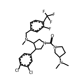 CN(Cc1ccc(C(F)(F)F)c(F)c1)C1CN(C(=O)N2CC[C@@H](N(C)C)C2)CC1c1ccc(Cl)c(Cl)c1